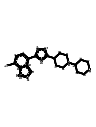 Fc1ccc(-c2noc(C3CCN(C4CCOCC4)CC3)n2)c2cn[nH]c12